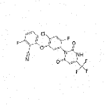 N#Cc1c(F)cccc1Oc1cc(-n2c(=O)cc(C(F)(F)F)[nH]c2=O)c(F)cc1Cl